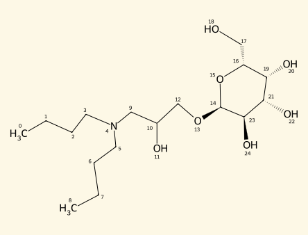 CCCCN(CCCC)CC(O)CO[C@H]1O[C@H](CO)[C@H](O)[C@H](O)[C@H]1O